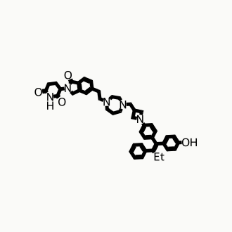 CCC(=C(c1ccc(O)cc1)c1ccc(N2CC(CN3CCCN(CCc4ccc5c(c4)CN(C4CCC(=O)NC4=O)C5=O)CC3)C2)cc1)c1ccccc1